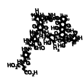 CO[C@@]12[C@H](COC(N)=O)C3=C(C(=O)C(C)=C(N)C3=O)N1C[C@@H]1N[C@@H]12.COc1cccc2c1C(=O)c1c(O)c3c(c(O)c1C2=O)C[C@@](O)(C(=O)CO)C[C@@H]3O[C@H]1C[C@H](N)[C@@H](O)[C@H](C)O1.Nc1nc(=O)c2c([nH]1)NC[C@@H](CNc1ccc(C(=O)N[C@H](CCC(=O)O)C(=O)O)cc1)N2C=O.O=c1[nH]cc(F)c(=O)[nH]1